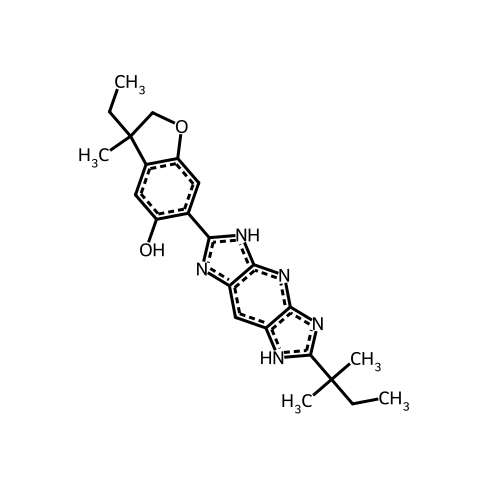 CCC(C)(C)c1nc2nc3[nH]c(-c4cc5c(cc4O)C(C)(CC)CO5)nc3cc2[nH]1